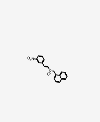 O=[N+]([O-])c1cccc(C=C[S+]([O-])Cc2cccc3ccccc23)c1